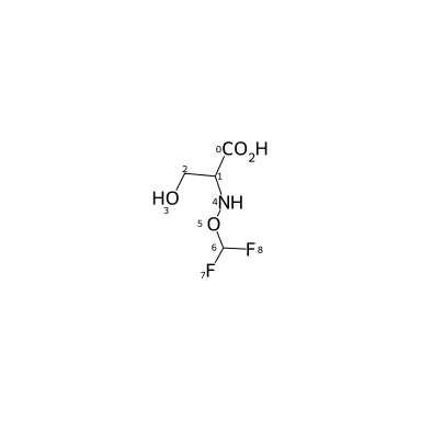 O=C(O)C(CO)NOC(F)F